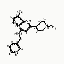 CN1CCC(c2cc(NCc3cccnc3)n3ncc(Br)c3n2)CC1